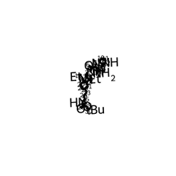 CCn1c(CNC(=O)c2nc3cc[nH]c3nc2N)[n+](CC)c2ccc(CCCNC(=O)OC(C)(C)C)cc21